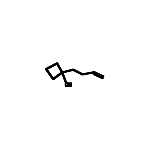 C=CCCC1(O)CCC1